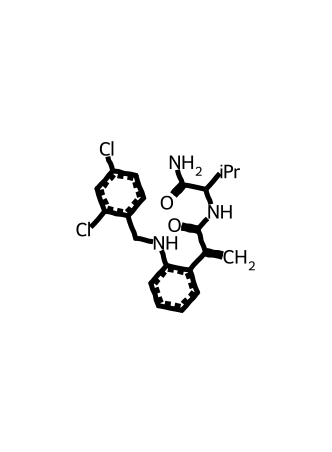 C=C(C(=O)NC(C(N)=O)C(C)C)c1ccccc1NCc1ccc(Cl)cc1Cl